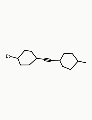 CCC1CCC(C#CC2CCC(C)CC2)CC1